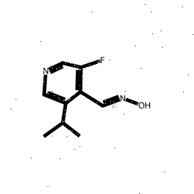 CC(C)c1cncc(F)c1/C=N/O